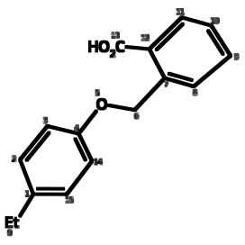 CCc1ccc(OCc2ccccc2C(=O)O)cc1